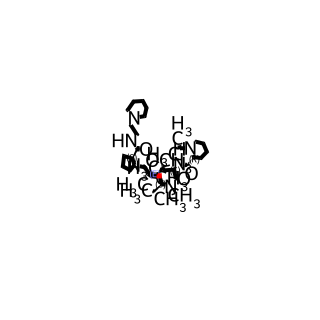 C/C(=C\[C@H](C(C)C)N(C)C(=O)[C@@H](NC(=O)[C@H]1CCCCN1C(C)C)C(C)(C)C)C(=O)N1CCC[C@H]1C(=O)NCCN1CCCCC1